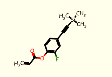 C=CC(=O)Oc1ccc(C#C[Si](C)(C)C)cc1F